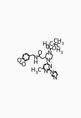 Cc1cc(N2CCN(C(=O)OC(C)(C)C)CC2CC(=O)NCc2ccc3c(c2)OCO3)nc(-n2ccnc2)n1